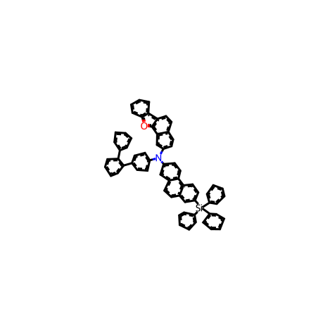 c1ccc(-c2ccccc2-c2ccc(N(c3ccc4c(ccc5cc([Si](c6ccccc6)(c6ccccc6)c6ccccc6)ccc54)c3)c3ccc4ccc5c6ccccc6oc5c4c3)cc2)cc1